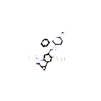 CC[C@H]1CC[C@H](NCc2cc3c(cc2OC)C2C[C@@H]2C(=O)N3C)[C@H](c2ccccc2)N1